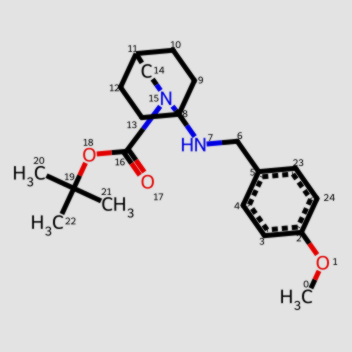 COc1ccc(CNC23CCC(CC2)CN3C(=O)OC(C)(C)C)cc1